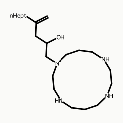 C=C(CCCCCCC)CC(O)CN1CCCNCCNCCCNCC1